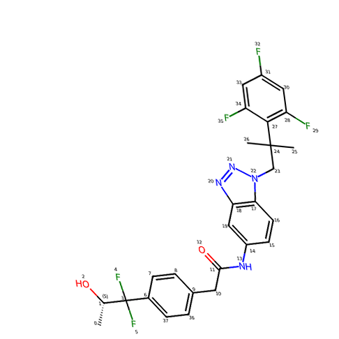 C[C@H](O)C(F)(F)c1ccc(CC(=O)Nc2ccc3c(c2)nnn3CC(C)(C)c2c(F)cc(F)cc2F)cc1